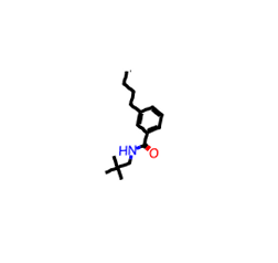 [CH2]CCCc1cccc(C(=O)NCC(C)(C)C)c1